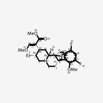 CC[C@H]1CN2CC[C@@]34OCCC[C@@]3(Nc3c(F)cc(F)c(OC)c34)[C@H]2C[C@H]1/C(=C\OC)C(=O)OC